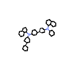 C1=CC(c2ccc(N(c3ccc(-c4ccccc4)cc3)c3cccc4ccccc34)cc2)CC=C1N(c1ccccc1)c1cccc2ccccc12